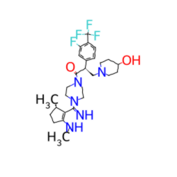 CNC1=C(C(=N)N2CCN(C(=O)[C@H](CN3CCC(O)CC3)c3ccc(C(F)(F)F)c(F)c3)CC2)[C@H](C)CC1